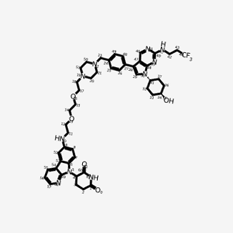 O=C1CCC(n2c3ccc(NCCOCCOCCN4CCN(Cc5ccc(-c6cn([C@H]7CC[C@H](O)CC7)c7nc(NCCC(F)(F)F)ncc67)cc5)CC4)cc3c3cccnc32)C(=O)N1